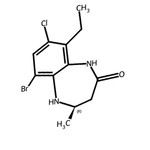 CCc1c(Cl)cc(Br)c2c1NC(=O)C[C@@H](C)N2